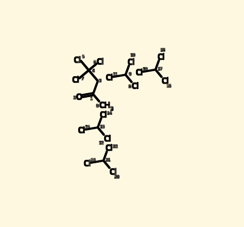 CC(=O)CC(Cl)(Cl)Cl.ClC(Cl)Cl.ClC(Cl)Cl.ClC(Cl)Cl.ClC(Cl)Cl